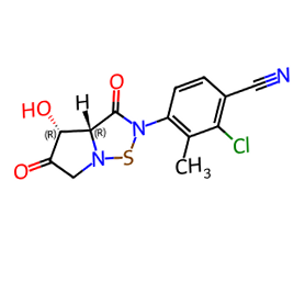 Cc1c(N2SN3CC(=O)[C@H](O)[C@@H]3C2=O)ccc(C#N)c1Cl